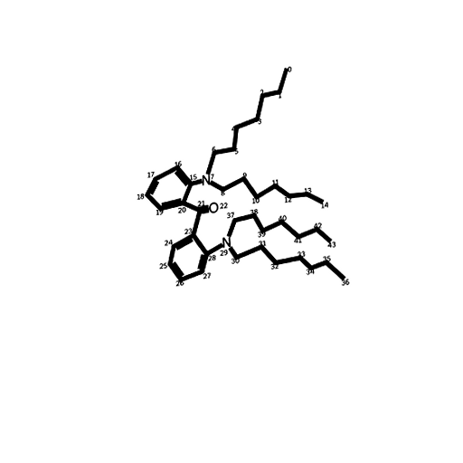 CCCCCCCN(CCCCCCC)c1ccccc1C(=O)c1ccccc1N(CCCCCCC)CCCCCCC